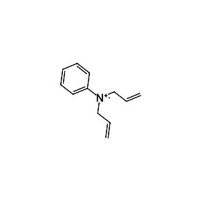 C=CC[N+](CC=C)c1ccccc1